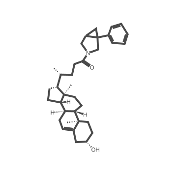 C[C@H](CCC(=O)N1CC2CC2(c2ccccc2)C1)[C@H]1CC[C@H]2[C@@H]3CC=C4C[C@@H](O)CC[C@]4(C)[C@H]3CC[C@]12C